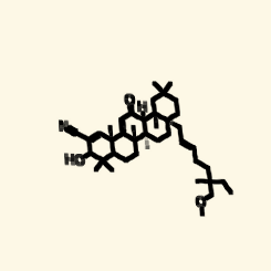 CCC(C)(CC/C=C/C[C@]12CCC(C)(C)C[C@@]1(C)[C@H]1C(=O)C=C3[C@@]4(C)C=C(C#N)C(O)C(C)(C)C4CC[C@@]3(C)[C@]1(C)CC2)COC